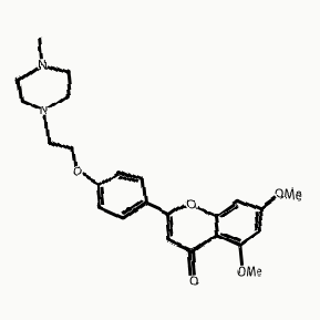 COc1cc(OC)c2c(=O)cc(-c3ccc(OCCN4CCN(C)CC4)cc3)oc2c1